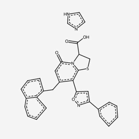 O=C(O)C1CSc2c(-c3cc(-c4ccccc4)no3)c(Cc3cccc4ccccc34)cc(=O)n21.c1c[nH]cn1